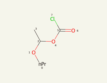 CCCOC(C)OC(=O)Cl